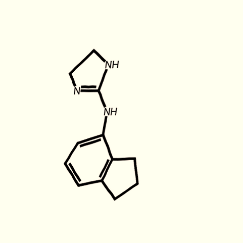 c1cc2c(c(NC3=NCCN3)c1)CCC2